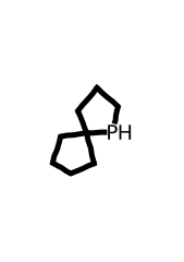 C1CCC2(C1)CCCP2